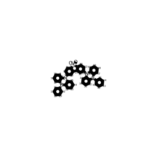 O=S1(=O)c2ccc(N3c4ccccc4B(c4ccccc4)c4ccccc43)cc2-c2cc(N3c4ccccc4B(c4ccccc4)c4ccccc43)ccc21